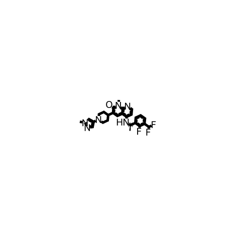 C[C@@H](Nc1ccnc2c1cc(C1CCN(c3cnn(C)c3)CC1)c(=O)n2C)c1cccc(C(F)F)c1F